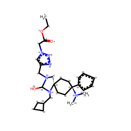 CCOC(=O)Cn1cc(CN2C[C@]3(CC[C@](c4ccccc4)(N(C)C)CC3)N(CC3CCC3)C2O)nn1